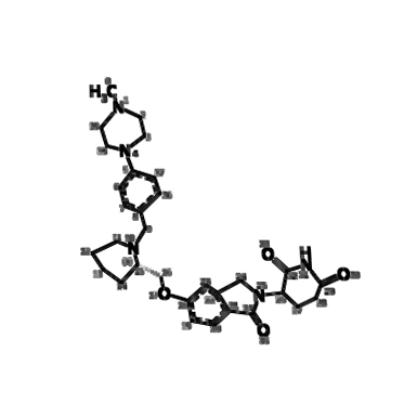 CN1CCN(c2ccc(CN3CCCC[C@H]3COc3ccc4c(c3)CN(C3CCC(=O)NC3=O)C4=O)cc2)CC1